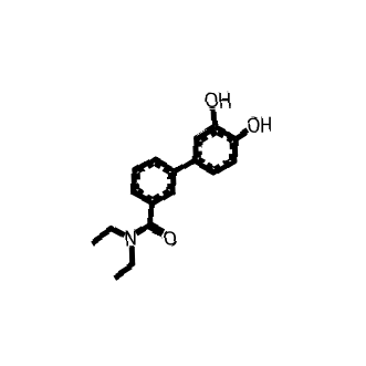 CCN(CC)C(=O)c1cccc(-c2ccc(O)c(O)c2)c1